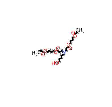 C=CC(=O)OCCCCOC(=O)CCN(CCCCCO)CCC(=O)OCCCCOC(=O)C=C